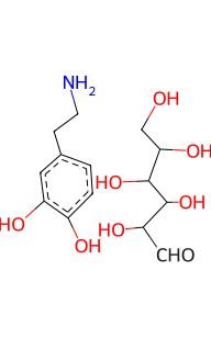 NCCc1ccc(O)c(O)c1.O=CC(O)C(O)C(O)C(O)CO